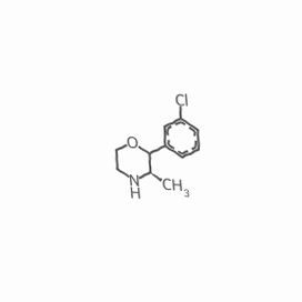 C[C@H]1NCCOC1c1cccc(Cl)c1